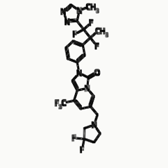 Cn1cnnc1C(F)(F)C(C)(F)c1cccc(-n2cc3c(C(F)(F)F)cc(CN4CCC(F)(F)C4)cn3c2=O)c1